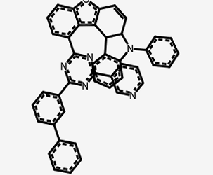 C1=CC2C(c3ccccc3N2c2ccccc2)c2c1oc1cccc(-c3nc(-c4cccnc4)nc(-c4cccc(-c5ccccc5)c4)n3)c21